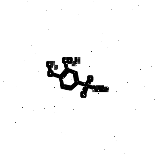 CNS(=O)(=O)c1ccc(OC(F)(F)F)c(C(=O)O)c1